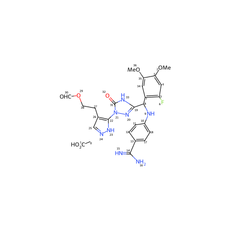 CC(=O)O.COc1cc(F)c(C(Nc2ccc(C(=N)N)cc2)c2nn(-c3[nH]ncc3CCOC=O)c(=O)[nH]2)cc1OC